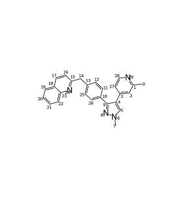 Cc1cc(-c2cn(C)nc2-c2ccc(Cc3ccc4ccccc4n3)cc2)ccn1